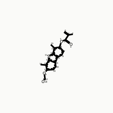 C=C(C)C(=O)Oc1ccc2c(sc3c(C)c(OC=O)ccc32)c1C